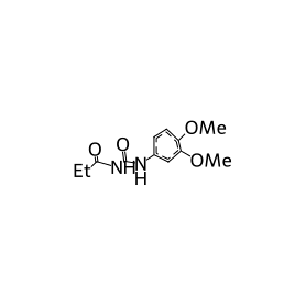 CCC(=O)NC(=O)Nc1ccc(OC)c(OC)c1